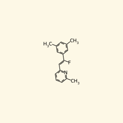 Cc1cc(C)cc(C(F)=Cc2cccc(C)n2)c1